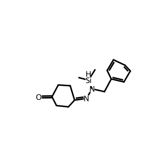 C[SiH](C)N(Cc1ccccc1)N=C1CCC(=O)CC1